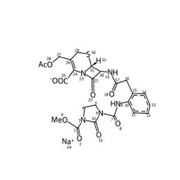 COC(=O)N1CCN(C(=O)Nc2ccccc2CC(=O)NC2C(=O)N3C(C(=O)[O-])=C(COC(C)=O)CS[C@H]23)C1=O.[Na+]